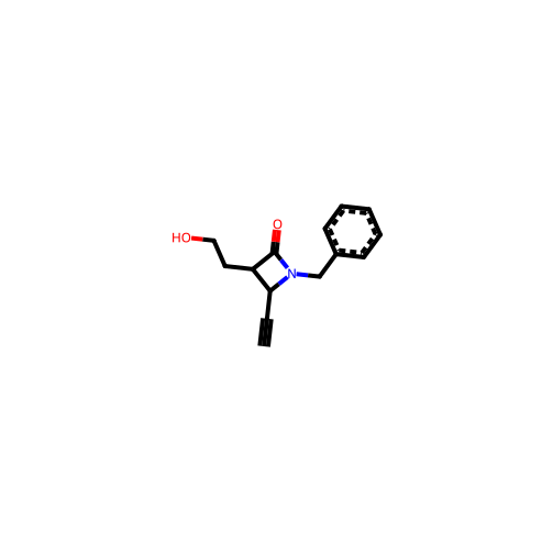 C#CC1C(CCO)C(=O)N1Cc1ccccc1